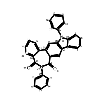 O=c1c2cc3c4ccccc4n(-c4ccccc4)c3cc2c2cccnc2c(=O)n1-c1ccccc1